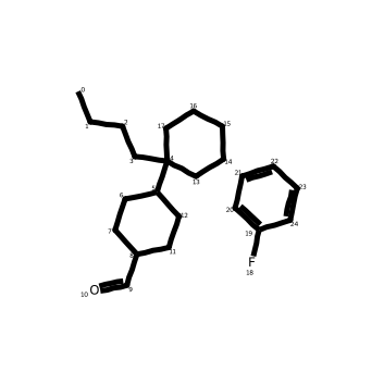 CCCCC1(C2CCC(C=O)CC2)CCCCC1.Fc1ccccc1